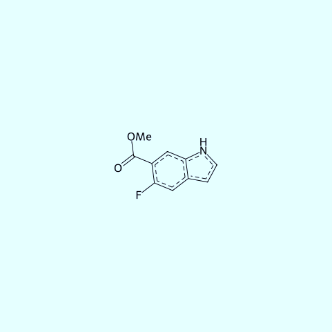 COC(=O)c1cc2[nH]ccc2cc1F